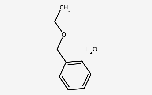 CCOCc1ccccc1.O